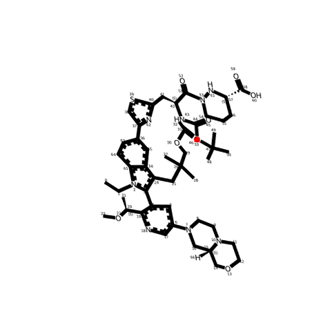 CCn1c(-c2cc(N3CCN4CCOC[C@@H]4C3)cnc2[C@H](C)OC)c(CC(C)(C)COC(C)=O)c2cc(-c3csc(C[C@H](NC(=O)OC(C)(C)C)C(=O)N4CCC[C@@H](C(=O)O)N4)n3)ccc21